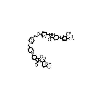 N#Cc1ccc(N2CCC(C(=O)Nc3ccc(OCCN4CCN(CC5CCN(c6ccc7c(c6)C(=O)N(C6CCC(=O)NC6=O)C7=O)CC5)CC4)cn3)CC2)cc1C(F)(F)F